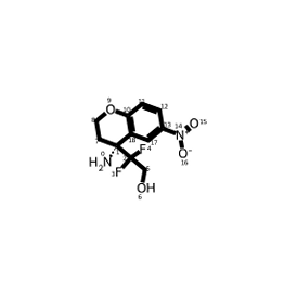 N[C@]1(C(F)(F)CO)CCOc2ccc([N+](=O)[O-])cc21